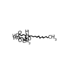 CCCCCCCCCCCC(=O)NC(CCC(=O)O)C(=O)N(C)CC(=O)O